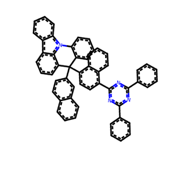 c1ccc(-c2nc(-c3ccccc3)nc(-c3ccc(C4(c5ccc6ccccc6c5)c5ccccc5-n5c6ccccc6c6cccc4c65)c4ccccc34)n2)cc1